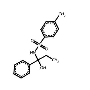 CCC(O)(NS(=O)(=O)c1ccc(C)cc1)c1ccccc1